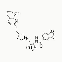 O=C(NC(CCN1CCC(CCc2ccc3c(n2)NCCC3)C1)C(=O)O)c1ccc2ocnc2c1